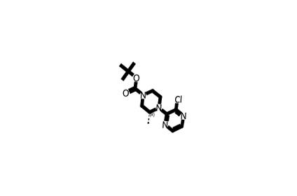 C[C@@H]1CN(C(=O)OC(C)(C)C)CCN1c1nccnc1Cl